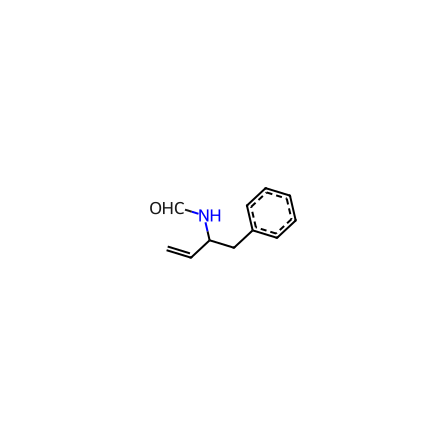 C=CC(Cc1ccccc1)NC=O